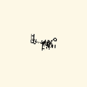 O=C(CCCCc1ccc2c(n1)NCCC2)NCCC(NC(=O)NCCc1ccccc1)C(=O)O